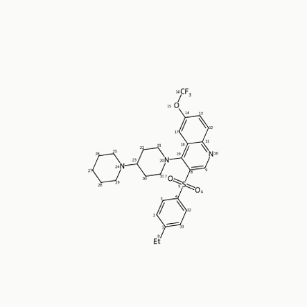 CCc1ccc(S(=O)(=O)c2cnc3ccc(OC(F)(F)F)cc3c2N2CCC(N3CCCCC3)CC2)cc1